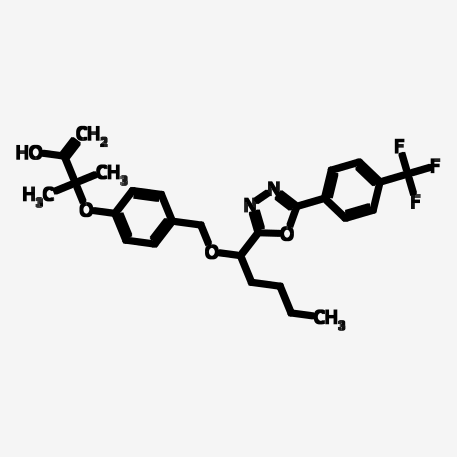 C=C(O)C(C)(C)Oc1ccc(COC(CCCC)c2nnc(-c3ccc(C(F)(F)F)cc3)o2)cc1